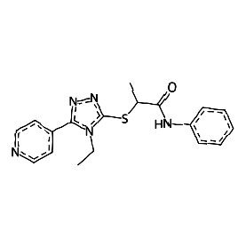 CCn1c(SC(C)C(=O)Nc2ccccc2)nnc1-c1ccncc1